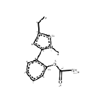 CCc1cc(-c2ccccc2OC(N)=O)n(C)n1